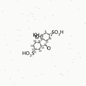 O=C1c2cc(S(=O)(=O)O)ccc2-c2ccc(S(=O)(=O)O)cc21.[KH].[KH]